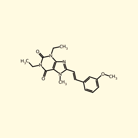 CCn1c(=O)c2c(nc(C=Cc3cccc(OC)c3)n2C)n(CC)c1=O